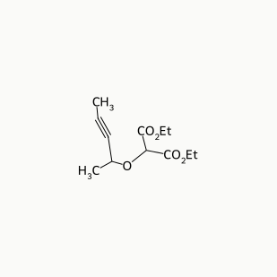 CC#CC(C)OC(C(=O)OCC)C(=O)OCC